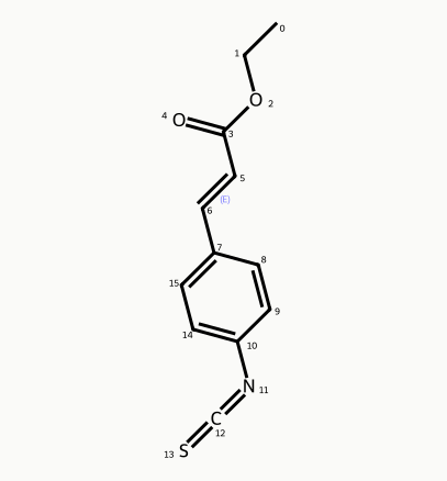 CCOC(=O)/C=C/c1ccc(N=C=S)cc1